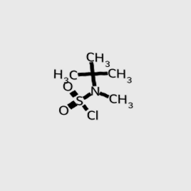 CN(C(C)(C)C)S(=O)(=O)Cl